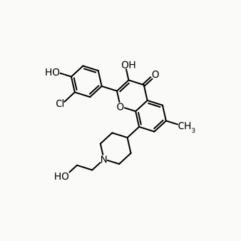 Cc1cc(C2CCN(CCO)CC2)c2oc(-c3ccc(O)c(Cl)c3)c(O)c(=O)c2c1